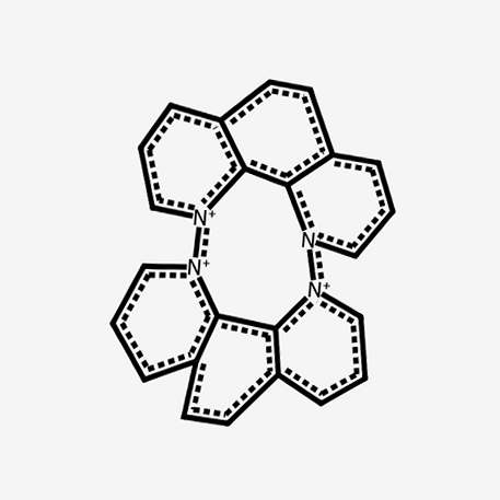 c1cc2ccc3ccc[n+]4c3c2[n+](c1)[n+]1cccc2ccc3ccc[n+]4c3c21